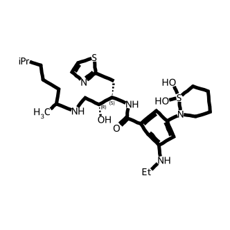 CCNc1cc(C(=O)N[C@@H](Cc2nccs2)[C@H](O)CNC(C)CCCC(C)C)cc(N2CCCCS2(O)O)c1